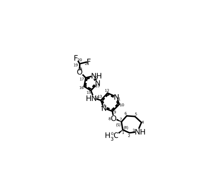 C[C@@H]1CNCCC[C@@H]1Oc1cncc(Nc2cc(OC(F)F)[nH]n2)n1